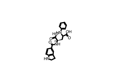 O=C(N[C@H](CC(Nc1ccccc1)C(=O)O)C(=O)O)c1ccc2c(c1)CCN2